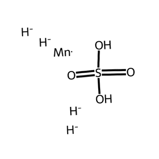 O=S(=O)(O)O.[H-].[H-].[H-].[H-].[Mn]